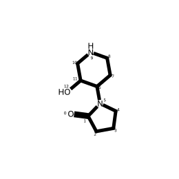 O=C1CCCN1C1CCNCC1O